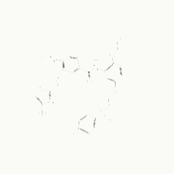 CCOC(=O)COc1ccc(CCCS(=O)(=O)c2ccc(Cl)cc2)cc1NC(=O)c1ccc([N+](=O)[O-])c(OCc2nc(C(C)(C)C)cs2)c1